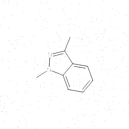 Cc1nn(C)c2ccccc12